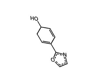 OC1C=CC(c2ncco2)=CC1